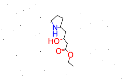 CCOC(=O)CC(O)CC1CCCN1